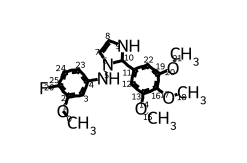 COc1cc(NN2C=CNC2c2cc(OC)c(OC)c(OC)c2)ccc1F